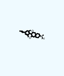 CC#Cc1cc(C)c(C2C(=O)CC3(CCC(N(C)C(C)=O)CC3)CC2=O)c(C)c1